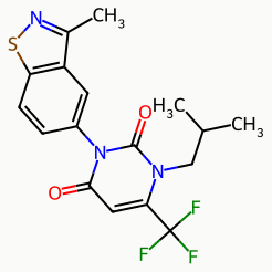 Cc1nsc2ccc(-n3c(=O)cc(C(F)(F)F)n(CC(C)C)c3=O)cc12